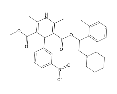 COC(=O)C1=C(C)NC(C)=C(C(=O)OC(CN2CCCCC2)c2ccccc2C)C1c1cccc([N+](=O)[O-])c1